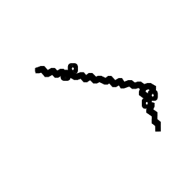 CCCCCCOC(=O)CCCCCCCCCCCCCCC(CC)CC(=O)OCCCCCC